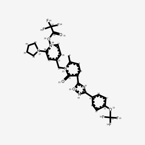 Cc1ccc(-c2nc(-c3ccc(OC(F)(F)F)cc3)no2)c(=O)n1Cc1cc[n+](OC(=O)C(F)(F)F)c(N2CCCC2)c1